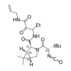 C=CCNC(=O)C(=O)C(CC)NC(=O)[C@@H]1[C@@H]2[C@H](CN1C(=O)[C@@H](N=C=O)C(C)(C)C)C2(C)C